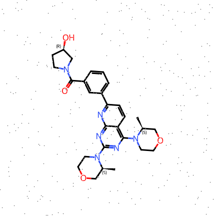 C[C@H]1COCCN1c1nc(N2CCOC[C@@H]2C)c2ccc(-c3cccc(C(=O)N4CC[C@@H](O)C4)c3)nc2n1